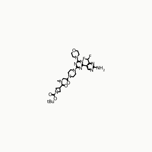 CN(CC(=O)N1CCN(c2nc(-c3cnc(N)nc3C(F)F)nc(N3CCOCC3)n2)CC1)C(=O)C1CN(C(=O)OC(C)(C)C)C1